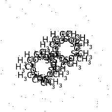 C[Si]1(C)O[Si](C)(C)O[Si](C)(C)O[Si](C)(S[Si]2(C)O[Si](C)(C)O[Si](C)(C)O[Si](C)(C)O[Si](C)(C)O[Si](C)(C)O2)O[Si](C)(C)O[Si](C)(C)O1